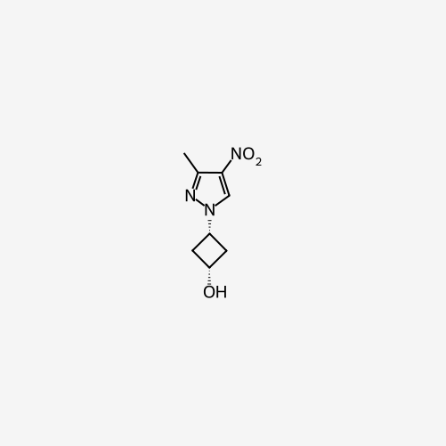 Cc1nn([C@H]2C[C@@H](O)C2)cc1[N+](=O)[O-]